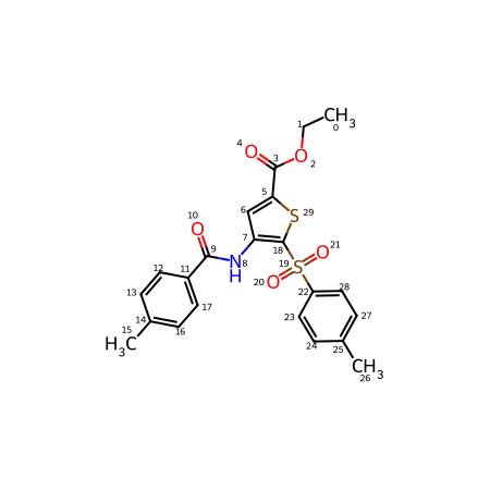 CCOC(=O)c1cc(NC(=O)c2ccc(C)cc2)c(S(=O)(=O)c2ccc(C)cc2)s1